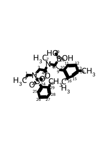 CCN(CC(=O)N(C)[C@@H](Cc1ccc(C)cc1C)B(O)O)S(=O)(=O)c1ccccc1C